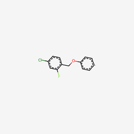 Fc1cc(Cl)ccc1COc1cc[c]cc1